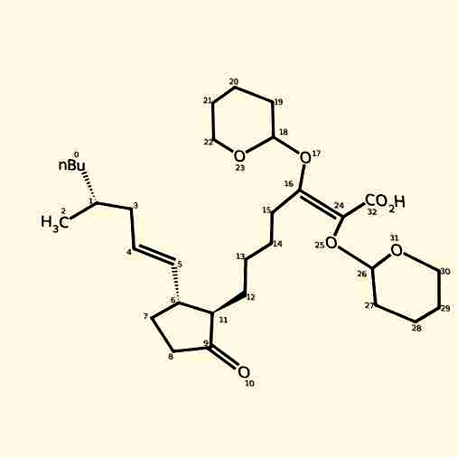 CCCC[C@@H](C)C/C=C/[C@H]1CCC(=O)[C@@H]1CCCC/C(OC1CCCCO1)=C(\OC1CCCCO1)C(=O)O